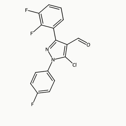 O=Cc1c(-c2cccc(F)c2F)nn(-c2ccc(F)cc2)c1Cl